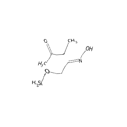 CCC(C)=O.ON=CCO[SiH3]